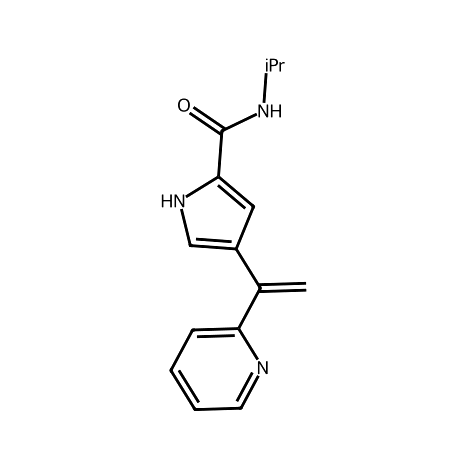 C=C(c1c[nH]c(C(=O)NC(C)C)c1)c1ccccn1